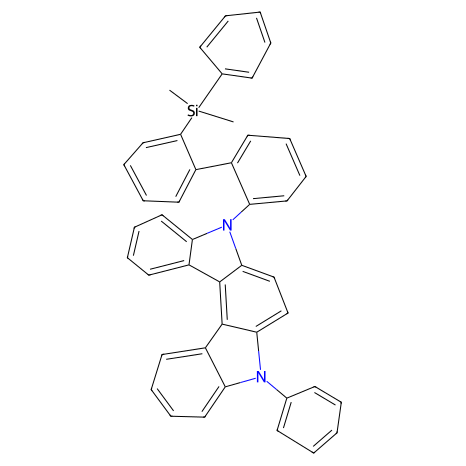 C[Si](C)(c1ccccc1)c1ccccc1-c1ccccc1-n1c2ccccc2c2c3c4ccccc4n(-c4ccccc4)c3ccc21